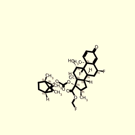 C[C@@H]1C[C@H]2[C@@H]3C[C@H](F)C4=CC(=O)C=C[C@]4(C)C3(F)[C@@H](O)C[C@]2(C)[C@]1(OC(=O)O[C@@H]1C[C@@H]2CC[C@@]1(C)C2(C)C)C(=O)OCF